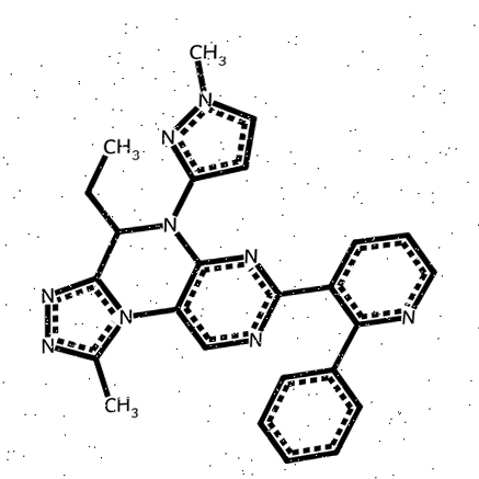 CCC1c2nnc(C)n2-c2cnc(-c3cccnc3-c3ccccc3)nc2N1c1ccn(C)n1